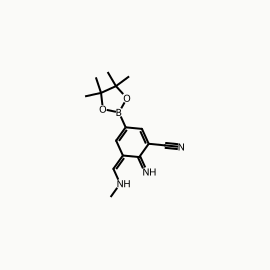 CN/C=C1/C=C(B2OC(C)(C)C(C)(C)O2)C=C(C#N)C1=N